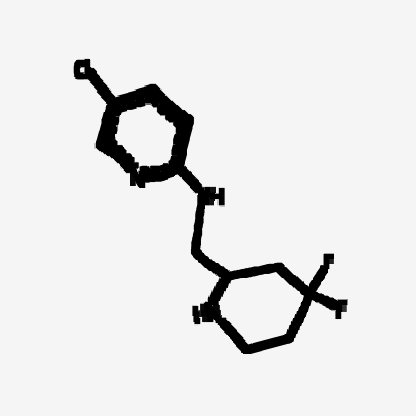 FC1(F)CCNC(CNc2ccc(Cl)cn2)C1